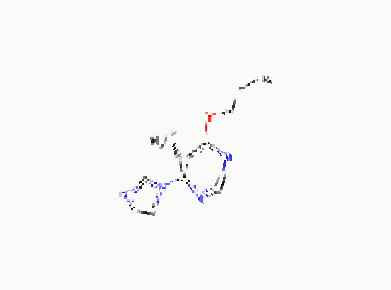 Cc1c(OCCC(C)(C)C)ncnc1-n1ccnc1